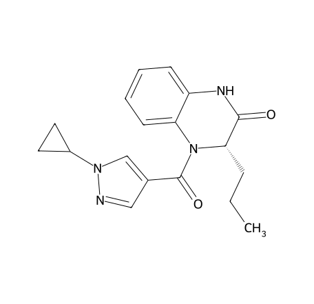 CCC[C@H]1C(=O)Nc2ccccc2N1C(=O)c1cnn(C2CC2)c1